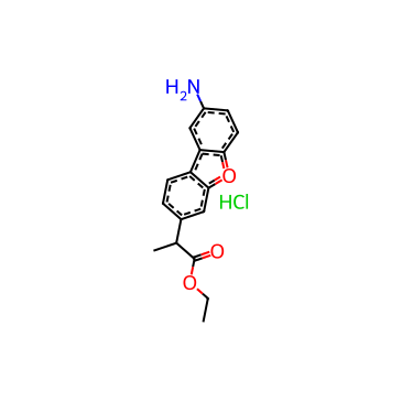 CCOC(=O)C(C)c1ccc2c(c1)oc1ccc(N)cc12.Cl